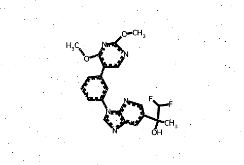 COc1ncc(-c2cccc(-n3cnc4cc(C(C)(O)C(F)F)cnc43)c2)c(OC)n1